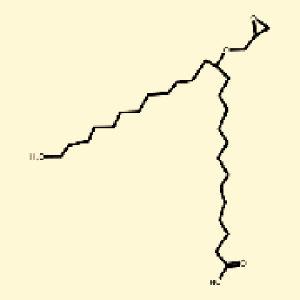 CCCCCCCCCCCCCC(CCCCCCCCCCCCC(=O)O)OCC1CO1